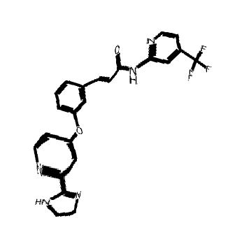 O=C(C=Cc1cccc(Oc2ccnc(C3=NCCN3)c2)c1)Nc1cc(C(F)(F)F)ccn1